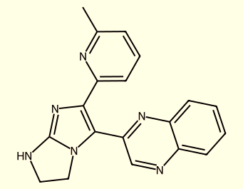 Cc1cccc(-c2nc3n(c2-c2cnc4ccccc4n2)CCN3)n1